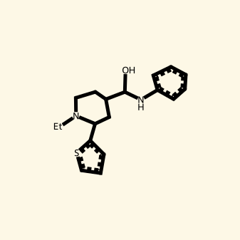 CCN1CCC(C(O)Nc2ccccc2)CC1c1cccs1